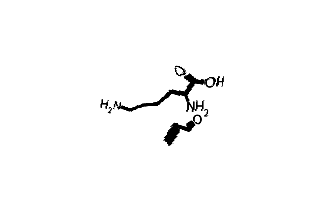 C=CC=O.NCCCC[C@H](N)C(=O)O